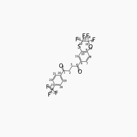 O=C(CCC(=O)c1ccc2c(c1)SC(F)(F)C(F)(F)O2)c1ccc(C(F)(F)F)cc1